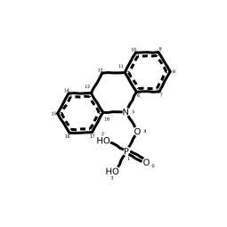 O=P(O)(O)ON1c2ccccc2Cc2ccccc21